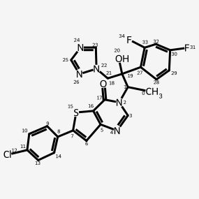 CC(n1cnc2cc(-c3ccc(Cl)cc3)sc2c1=O)C(O)(Cn1cncn1)c1ccc(F)cc1F